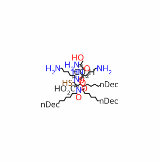 CCCCCCCCCCCCCCCC(=O)N(C(=O)CCCCCCCCCCCCCCC)[C@@](C(=O)O)(C(=O)CCCCCCCCCCCCCCC)C(S)N(C(=O)[C@H](CCCCN)NC(=O)[C@@H](N)CO)[C@@H](CCCCN)C(=O)O